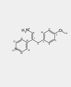 COc1ccc(CC(=CN)c2ccncc2)cc1